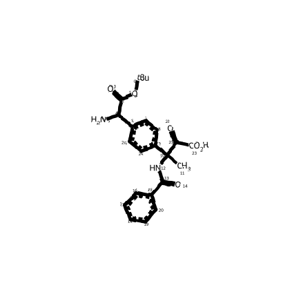 CC(C)(C)OC(=O)C(N)c1ccc(C(C)(NC(=O)c2ccccc2)C(=O)C(=O)O)cc1